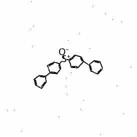 [O-][S+](c1ccc(-c2ccccc2)cc1)c1ccc(-c2ccccc2)cc1